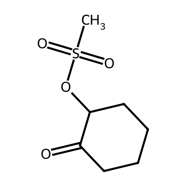 CS(=O)(=O)OC1CCCCC1=O